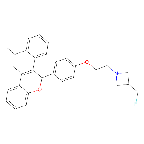 CCc1ccccc1C1=C(C)c2ccccc2OC1c1ccc(OCCN2CC(CF)C2)cc1